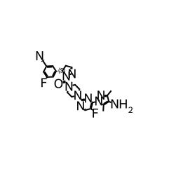 Cc1nn(-c2nc(N3CCN(C(=O)N4N=CC[C@H]4c4cc(F)cc(C#N)c4)CC3)ncc2F)c(C)c1N